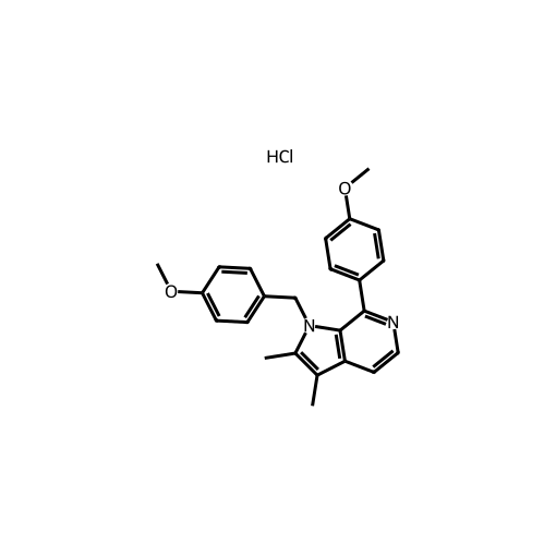 COc1ccc(Cn2c(C)c(C)c3ccnc(-c4ccc(OC)cc4)c32)cc1.Cl